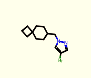 Brc1cnn(CC2CCC3(CCC3)CC2)c1